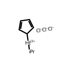 C[CH](C)[Hf+3][CH]1C=CC=C1.[Cl-].[Cl-].[Cl-]